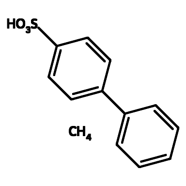 C.O=S(=O)(O)c1ccc(-c2ccccc2)cc1